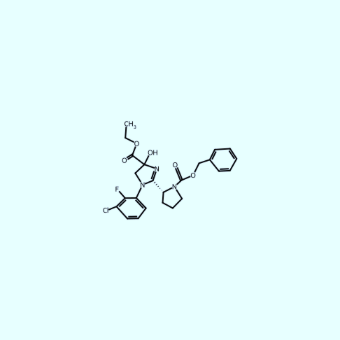 CCOC(=O)C1(O)CN(c2cccc(Cl)c2F)C([C@H]2CCCN2C(=O)OCc2ccccc2)=N1